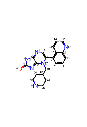 O=C1[N]C2=NC=C(c3cccc4ncccc34)N(CC3CCNCC3)C2=N1